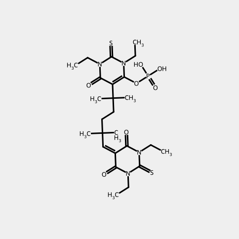 CCN1C(=O)C(=CC(C)(C)CCC(C)(C)c2c(OP(=O)(O)O)n(CC)c(=S)n(CC)c2=O)C(=O)N(CC)C1=S